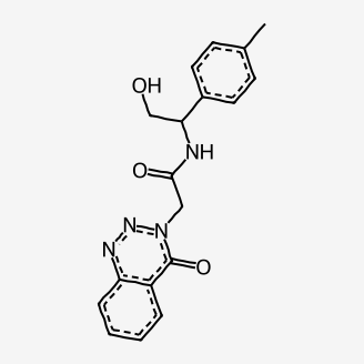 Cc1ccc(C(CO)NC(=O)Cn2nnc3ccccc3c2=O)cc1